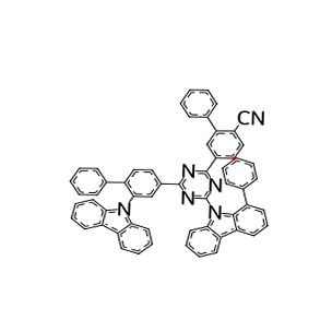 N#Cc1ccc(-c2nc(-c3ccc(-c4ccccc4)c(-n4c5ccccc5c5ccccc54)c3)nc(-n3c4ccccc4c4cccc(-c5ccccc5)c43)n2)cc1-c1ccccc1